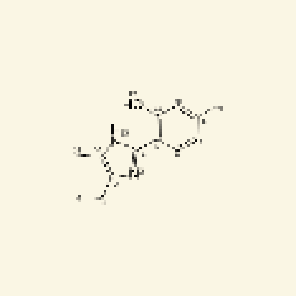 CCc1nc(-c2ccc(C)cc2O)[nH]c1C